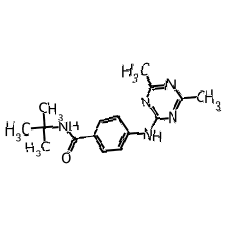 Cc1nc(C)nc(Nc2ccc(C(=O)NC(C)(C)C)cc2)n1